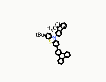 CC(C)(C)c1ccc2c(c1)Sc1cc(-c3ccc4c5ccccc5c5ccccc5c4c3)ccc1N2c1ccc2c(c1)C(C)(C)c1ccccc1-2